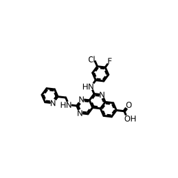 O=C(O)c1ccc2c(c1)nc(Nc1ccc(F)c(Cl)c1)c1nc(NCc3ccccn3)ncc12